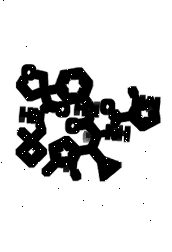 Cc1ccc(C(C2CC2)[C@H](NC(=O)c2ccnn2C)C(=O)Nc2cccc(C3(C(=O)NCC4(C)CCC4)CCOC3)c2)n1C